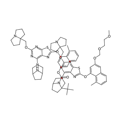 COCCOCOc1cc(Oc2nc3c(N4CC5CCC(C(C)(C)C)(C4)N5C(=O)Oc4cc(Oc5nc6c(N7CC8CCC(C7)N8)nc(OCC78CCCN7CCC8)nc6s5)c5c(C)cccc5c4)nc(OCC45CCCN4CCC5)nc3s2)c2c(C)cccc2c1